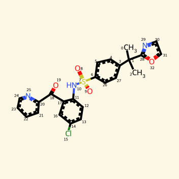 CC(C)(c1ccc(S(=O)(=O)Nc2ccc(Cl)cc2C(=O)c2ccccn2)cc1)c1ncco1